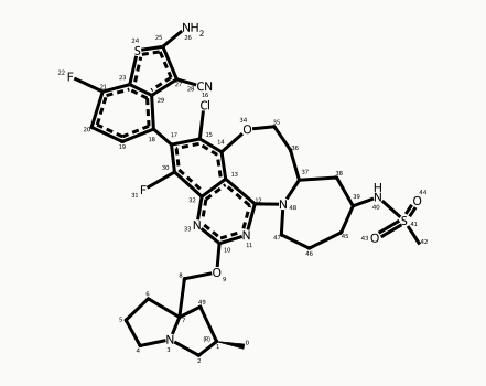 C[C@H]1CN2CCCC2(COc2nc3c4c(c(Cl)c(-c5ccc(F)c6sc(N)c(C#N)c56)c(F)c4n2)OCCC2CC(NS(C)(=O)=O)CCCN32)C1